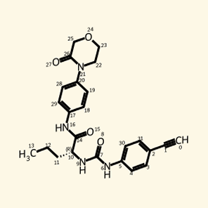 C#Cc1ccc(NC(=O)N[C@H](CCC)C(=O)Nc2ccc(N3CCOCC3=O)cc2)cc1